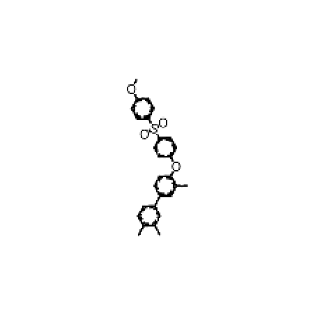 COc1ccc(S(=O)(=O)c2ccc(Oc3ccc(-c4ccc(C)c(C)c4)cc3C)cc2)cc1